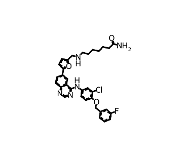 NC(=O)CCCCCCNCc1ccc(-c2ccc3ncnc(Nc4ccc(OCc5cccc(F)c5)c(Cl)c4)c3c2)o1